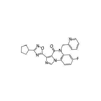 O=c1c2c(-c3nc(C4CCCC4)no3)ncn2c2ccc(F)cc2n1Cc1ccccn1